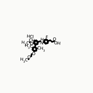 CCOCCOc1cc(C)c(-c2cc(CNc3ccc(CCC(=O)O)c(F)c3)ccc2OC(C)C)c(C)c1.Cl